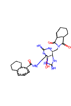 N=C1NC2C(CN3C(=O)C4CCCCC4C3=O)NC(=N)N3CC(NC(=O)c4cccc5c4CCCC5)[C@@H](O)[C@]23N1